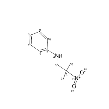 CC(C)(CNc1ccccc1)[N+](=O)[O-]